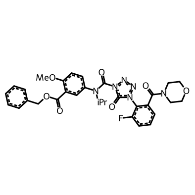 COc1ccc(N(C(=O)n2nnn(-c3c(F)cccc3C(=O)N3CCOCC3)c2=O)C(C)C)cc1C(=O)OCc1ccccc1